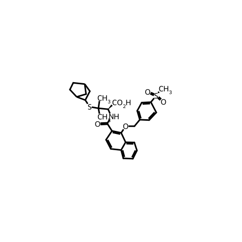 CC(C)(SC1CC2CCC1C2)[C@H](NC(=O)c1ccc2ccccc2c1OCc1ccc(S(C)(=O)=O)cc1)C(=O)O